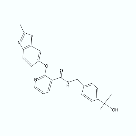 Cc1nc2ccc(Oc3ncccc3C(=O)NCc3ccc(C(C)(C)O)cc3)cc2s1